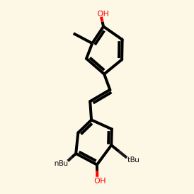 CCCCc1cc(C=Cc2ccc(O)c(C)c2)cc(C(C)(C)C)c1O